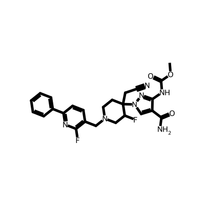 COC(=O)Nc1nn(C2(CC#N)CCN(Cc3ccc(-c4ccccc4)nc3F)CC2F)cc1C(N)=O